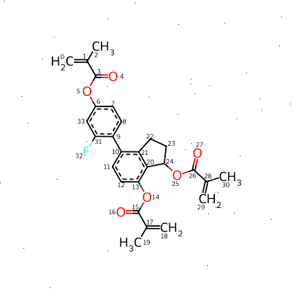 C=C(C)C(=O)Oc1ccc(-c2ccc(OC(=O)C(=C)C)c3c2CCC3OC(=O)C(=C)C)c(F)c1